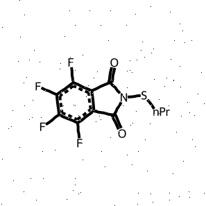 CCCSN1C(=O)c2c(F)c(F)c(F)c(F)c2C1=O